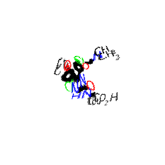 CCOc1ccc(Cl)c(-c2ncc(C(=O)N[C@@H](CC(=O)O)C(C)(C)C)nc2-c2ccc(Cl)c(OCCCN(C)C)c2)c1